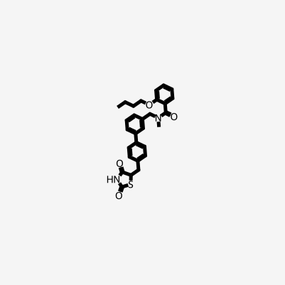 CCCCOc1ccccc1C(=O)N(C)Cc1cccc(-c2ccc(CC3SC(=O)NC3=O)cc2)c1